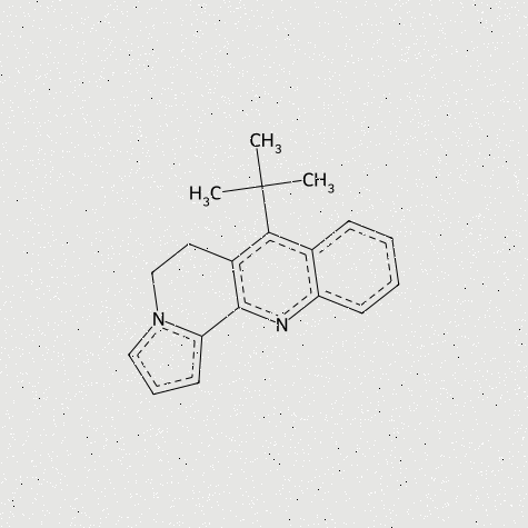 CC(C)(C)c1c2c(nc3ccccc13)-c1cccn1CC2